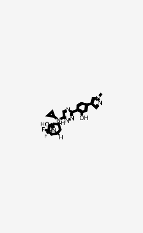 Cn1cc(-c2ccc(-c3ncc(N(C4CC4)[C@H]4C[C@@H]5CC(F)(F)CC4[C@H](O)N5)nn3)c(O)c2)cn1